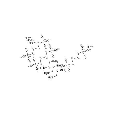 NCCN.NCCN.NCCN.O=P([O-])([O-])CCCCP(=O)([O-])[O-].O=P([O-])([O-])CCCCP(=O)([O-])[O-].O=P([O-])([O-])CCCCP(=O)([O-])[O-].[Fe+3].[Fe+3].[Fe+3].[Fe+3]